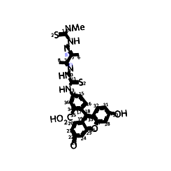 CNC(=S)N/N=C(C)/C(C)=N/NC(=S)Nc1ccc(-c2c3ccc(=O)cc-3oc3cc(O)ccc23)c(C(=O)O)c1